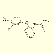 NC(=S)Nc1ccccc1Oc1ccc(Cl)c(Cl)c1